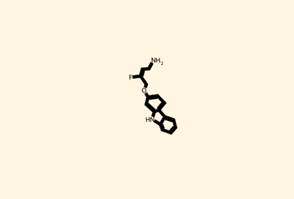 NC/C=C(/F)COc1ccc2c(c1)[nH]c1ccccc12